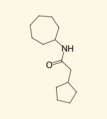 O=C(CC1CCCC1)NC1CCCCCC1